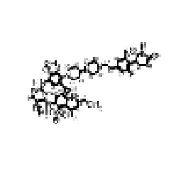 CCc1ccc2c(P(C)(C)=O)c(Nc3nc(Nc4cc(C5CC5)c(N5CCC(N6CCN(CCc7cc(F)c(C8CCC(=O)NC8=O)c(F)c7)CC6)CC5)cc4OC)ncc3Br)ccc2n1